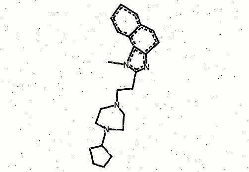 Cn1c(CCN2CCN(C3CCCC3)CC2)nc2ccc3ccccc3c21